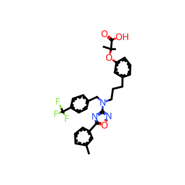 Cc1cccc(-c2nc(N(CCCc3cccc(OC(C)(C)C(=O)O)c3)Cc3ccc(C(F)(F)F)cc3)no2)c1